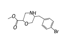 COC(=O)C1CNC(Cc2ccc(Br)cc2)CO1